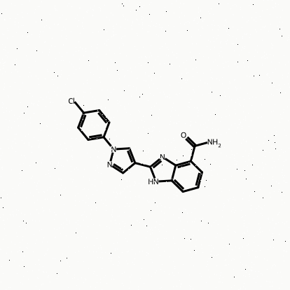 NC(=O)c1cccc2[nH]c(-c3cnn(-c4ccc(Cl)cc4)c3)nc12